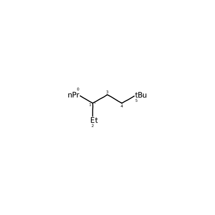 CCC[C](CC)CCC(C)(C)C